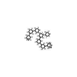 c1ccc(-c2cc(-c3cccc(-c4cccc(-c5ccncc5)c4)c3)cc(-c3cccc(-c4cccc(-c5cncnc5)c4)c3)c2)cc1